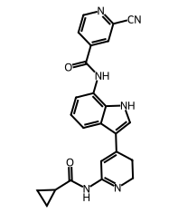 N#Cc1cc(C(=O)Nc2cccc3c(C4=CC(NC(=O)C5CC5)=NCC4)c[nH]c23)ccn1